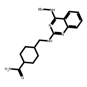 CC(C)(C)Nc1nc(NCC2CCC(C(N)=O)CC2)nc2ccccc12